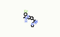 C=C(Nc1cc2cc(-c3cnn(C)c3CN3CCCC3)ccc2cn1)C1CCC(F)(F)CC1